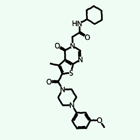 COc1cccc(N2CCN(C(=O)c3sc4ncn(CC(=O)NC5CCCCC5)c(=O)c4c3C)CC2)c1